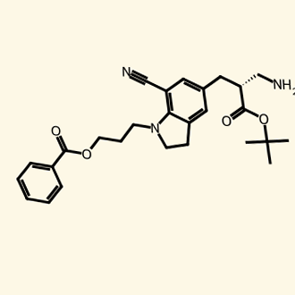 CC(C)(C)OC(=O)[C@@H](CN)Cc1cc(C#N)c2c(c1)CCN2CCCOC(=O)c1ccccc1